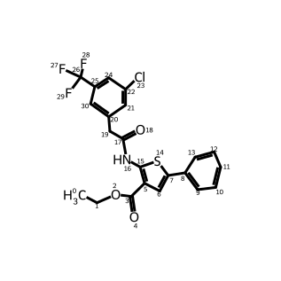 CCOC(=O)c1cc(-c2ccccc2)sc1NC(=O)Cc1cc(Cl)cc(C(F)(F)F)c1